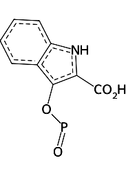 O=POc1c(C(=O)O)[nH]c2ccccc12